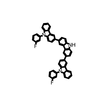 Fc1cccc(-n2c3ccccc3c3cc(-c4ccc5[nH]c6ccc(-c7ccc8c(c7)c7ccccc7n8-c7cccc(F)c7)cc6c5c4)ccc32)c1